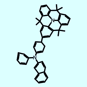 CC1(C)c2cccc3c2N2c4c1cccc4C(C)(C)c1cc(C4C=CC(N(c5ccccc5)c5ccc6ccccc6c5)=CC4)cc(c12)C3(C)C